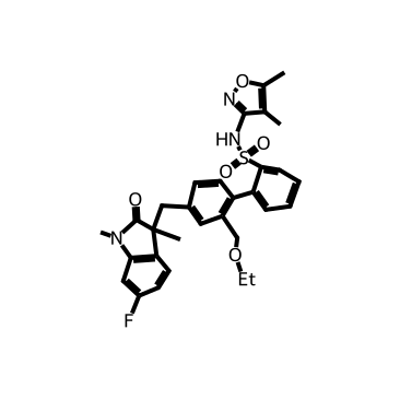 CCOCc1cc(CC2(C)C(=O)N(C)c3cc(F)ccc32)ccc1-c1ccccc1S(=O)(=O)Nc1noc(C)c1C